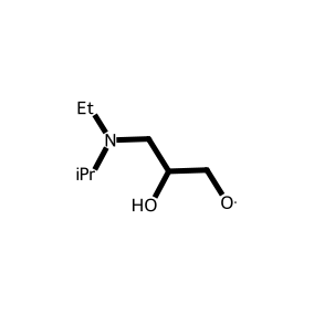 CCN(CC(O)C[O])C(C)C